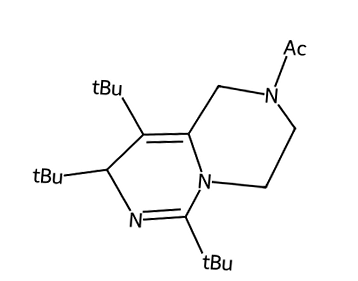 CC(=O)N1CCN2C(C(C)(C)C)=NC(C(C)(C)C)C(C(C)(C)C)=C2C1